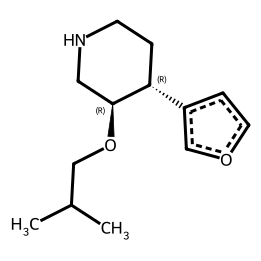 CC(C)CO[C@H]1CNCC[C@@H]1c1ccoc1